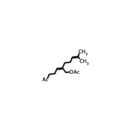 CC(=O)CC/C=C(/CCC=C(C)C)COC(C)=O